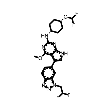 COc1nc(N[C@H]2CC[C@@H](OC(F)F)CC2)nc2[nH]cc(-c3ccc4nnn(CC(F)F)c4c3)c12